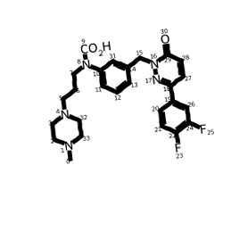 CN1CCN(CCCN(C(=O)O)c2cccc(Cn3nc(-c4ccc(F)c(F)c4)ccc3=O)c2)CC1